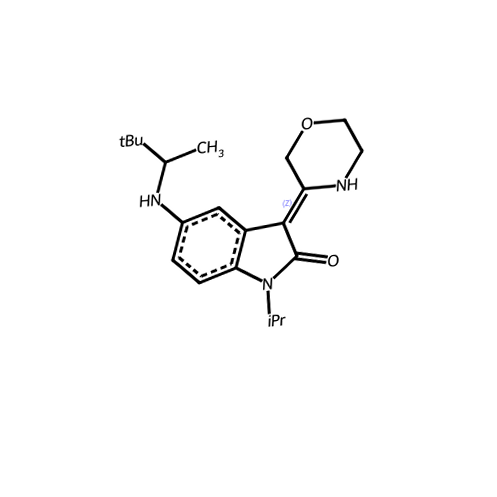 CC(C)N1C(=O)/C(=C2/COCCN2)c2cc(NC(C)C(C)(C)C)ccc21